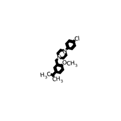 COc1ccc(C(C)C)cc1CN1CCN(c2ccc(Cl)cc2)CC1